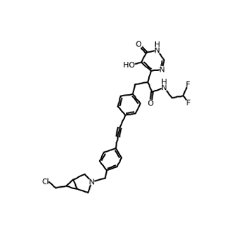 O=C(NCC(F)F)C(Cc1ccc(C#Cc2ccc(CN3CC4C(CCl)C4C3)cc2)cc1)c1nc[nH]c(=O)c1O